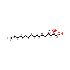 C=CCCCCCCCCCCCC(=O)CC(O)CO